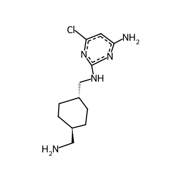 NC[C@H]1CC[C@H](CNc2nc(N)cc(Cl)n2)CC1